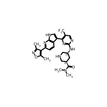 Cc1noc(C)c1-c1ccc2c(-c3nc(N[C@@H]4CNC[C@H](C(=O)N(C)C)C4)ncc3C(F)(F)F)c[nH]c2n1